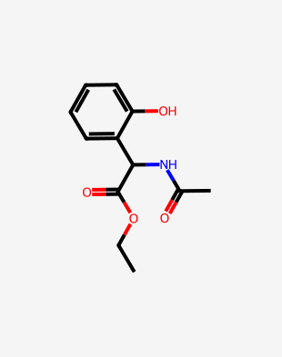 CCOC(=O)C(NC(C)=O)c1ccccc1O